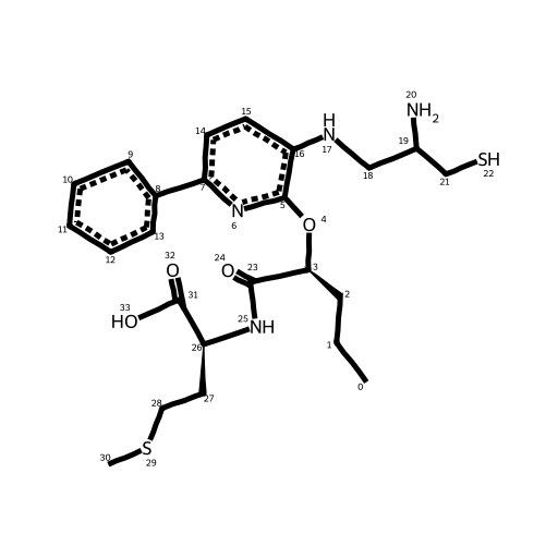 CCC[C@H](Oc1nc(-c2ccccc2)ccc1NCC(N)CS)C(=O)N[C@@H](CCSC)C(=O)O